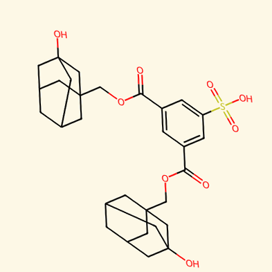 O=C(OCC12CC3CC(CC(O)(C3)C1)C2)c1cc(C(=O)OCC23CC4CC(CC(O)(C4)C2)C3)cc(S(=O)(=O)O)c1